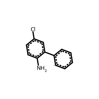 Nc1ccc(Cl)cc1-c1[c]cccc1